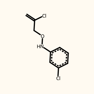 C=C(Cl)CONc1cccc(Cl)c1